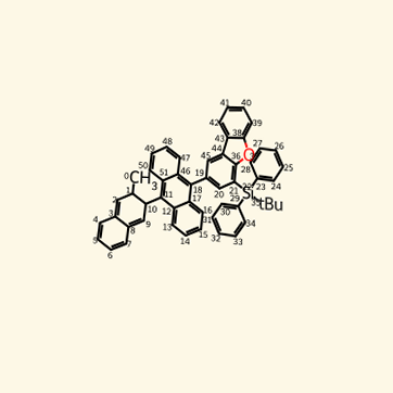 CC1C=c2ccccc2=CC1c1c2ccccc2c(-c2cc([Si](c3ccccc3)(c3ccccc3)C(C)(C)C)c3oc4ccccc4c3c2)c2ccccc12